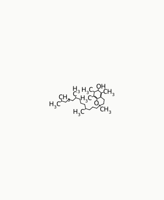 CC1=C2OC(C)(CCCC(C)CCCC(C)CCCC(C)C)CCC2=C(C)C(O)C1C